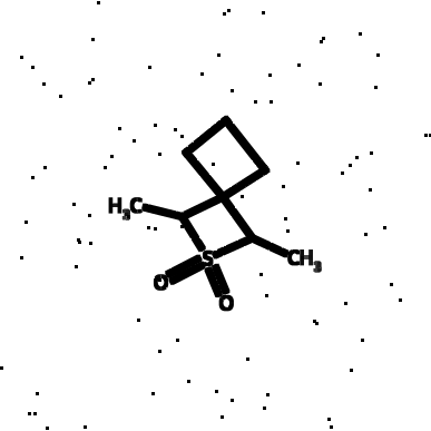 CC1C2(CCC2)C(C)S1(=O)=O